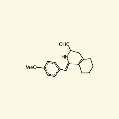 COc1ccc(C=C2NC(C=O)CC3=C2CCCC3)cc1